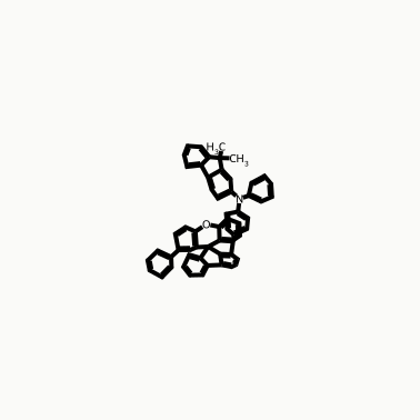 CC1(C)c2ccccc2-c2ccc(N(c3ccccc3)c3ccc(-c4cccc5c4C4(c6ccccc6Oc6ccc(-c7ccccc7)cc64)c4ccccc4-5)cc3)cc21